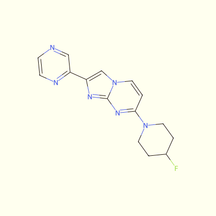 FC1CCN(c2ccn3cc(-c4cnccn4)nc3n2)CC1